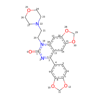 O=c1nc(-c2ccc3c(c2)OCO3)c2cc3c(cc2n1CCN1CCOCC1)OCO3